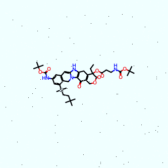 CCC1(OC(=O)CCNC(=O)OC(C)(C)C)C(=O)OCC2=C1CC1=C(C2=O)N2Cc3c(cc(NC(=O)OC(C)(C)C)cc3[Si](C)(C)CCC(C)(C)C)C=C2N1